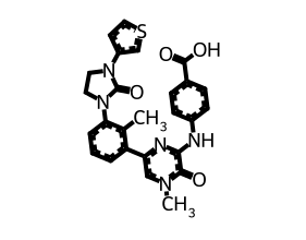 Cc1c(-c2cn(C)c(=O)c(Nc3ccc(C(=O)O)cc3)n2)cccc1N1CCN(c2ccsc2)C1=O